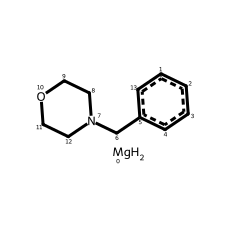 [MgH2].[c]1cccc(CN2CCOCC2)c1